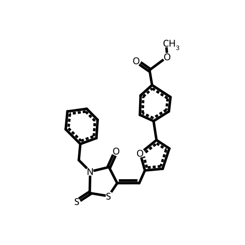 COC(=O)c1ccc(-c2ccc(C=C3SC(=S)N(Cc4ccccc4)C3=O)o2)cc1